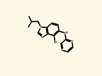 CC(C)Cn1cnc2c(Br)c(Nc3cnccn3)ccc21